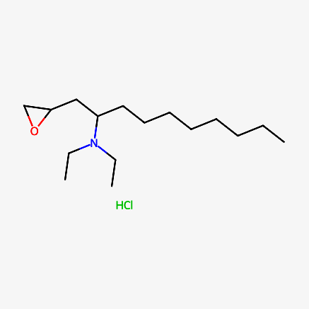 CCCCCCCCC(CC1CO1)N(CC)CC.Cl